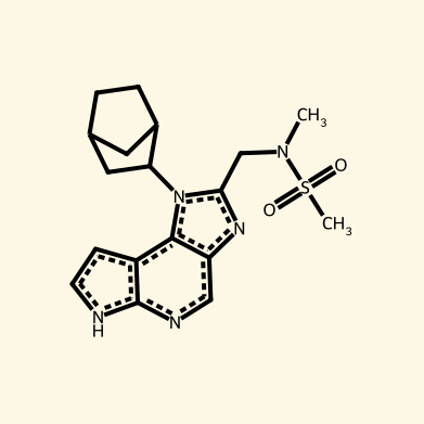 CN(Cc1nc2cnc3[nH]ccc3c2n1C1CC2CCC1C2)S(C)(=O)=O